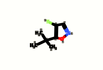 CC(C)(C)c1on[c]c1F